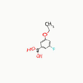 CCOc1cc(F)cc(B(O)O)c1